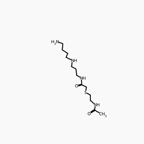 CC(=O)NCCSCC(=O)NCCCNCCCCN